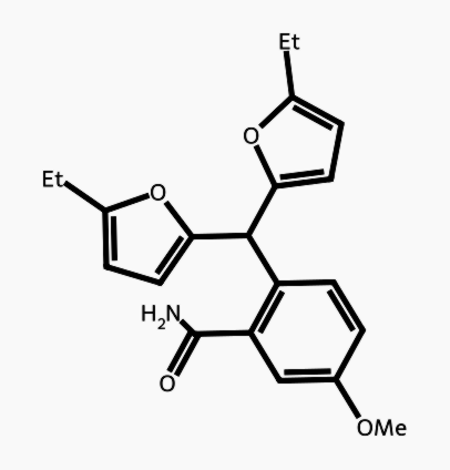 CCc1ccc(C(c2ccc(CC)o2)c2ccc(OC)cc2C(N)=O)o1